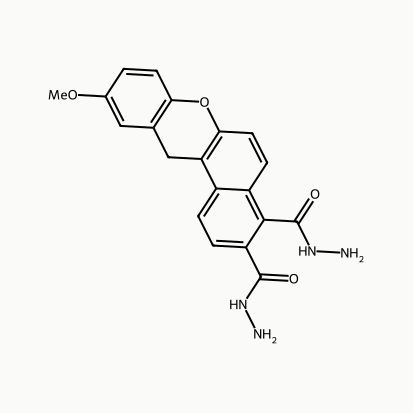 COc1ccc2c(c1)Cc1c(ccc3c(C(=O)NN)c(C(=O)NN)ccc13)O2